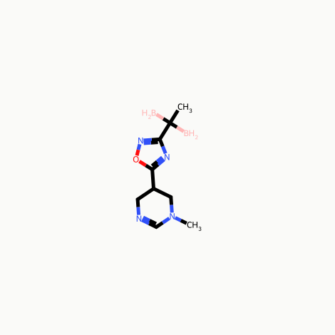 BC(B)(C)c1noc(C2CN=CN(C)C2)n1